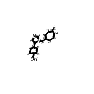 Oc1ccc(-c2cncn2CC2=CC=C(F)C=CC2)cc1